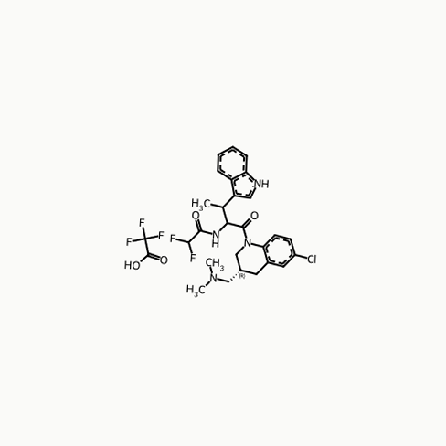 CC(c1c[nH]c2ccccc12)C(NC(=O)C(F)F)C(=O)N1C[C@@H](CN(C)C)Cc2cc(Cl)ccc21.O=C(O)C(F)(F)F